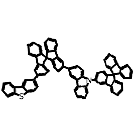 c1ccc2c(c1)-c1cc(-c3ccc4sc5ccccc5c4c3)ccc1C21c2ccccc2-c2cc(-c3ccc4c(c3)c3ccccc3n4-c3ccc4c(c3)-c3ccccc3C43c4ccccc4-c4ccccc43)ccc21